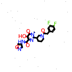 Cn1c(C2CCCN(C(=O)Cc3ccc(F)c(F)c3)C2)nc(C(=O)Nc2cnoc2)c(O)c1=O